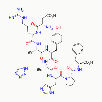 CC[C@H](C)[C@H](NC(=O)[C@H](Cc1ccc(O)cc1)NC(=O)[C@@H](NC(=O)[C@H](CCCNC(=N)N)NC(=O)[C@@H](N)CC(=O)O)C(C)C)C(=O)N[C@@H](Cc1cnc[nH]1)C(=O)N1CCC[C@H]1C(=O)N[C@@H](Cc1ccccc1)C(=O)O.c1nnn[nH]1